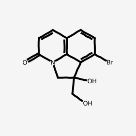 O=c1ccc2ccc(Br)c3c2n1CC3(O)CO